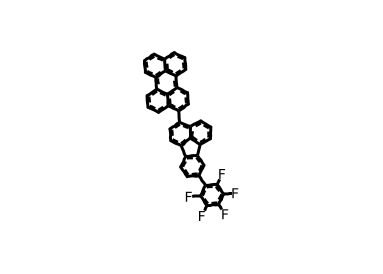 Fc1c(F)c(F)c(-c2ccc3c(c2)-c2cccc4c(-c5ccc6c7cccc8cccc(c9cccc5c96)c87)ccc-3c24)c(F)c1F